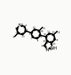 Cc1cncc(-c2ccc(-c3cc(C)cc4[nH]ncc34)c(C)c2)c1